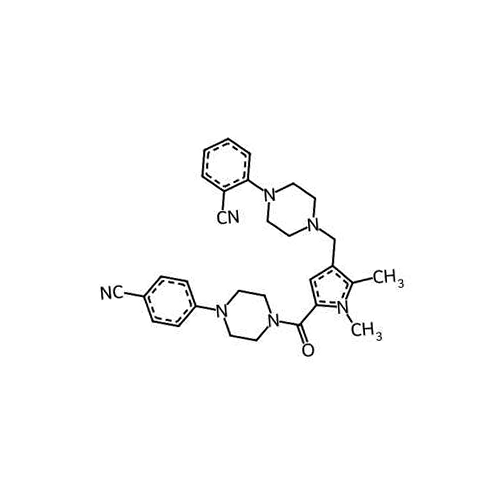 Cc1c(CN2CCN(c3ccccc3C#N)CC2)cc(C(=O)N2CCN(c3ccc(C#N)cc3)CC2)n1C